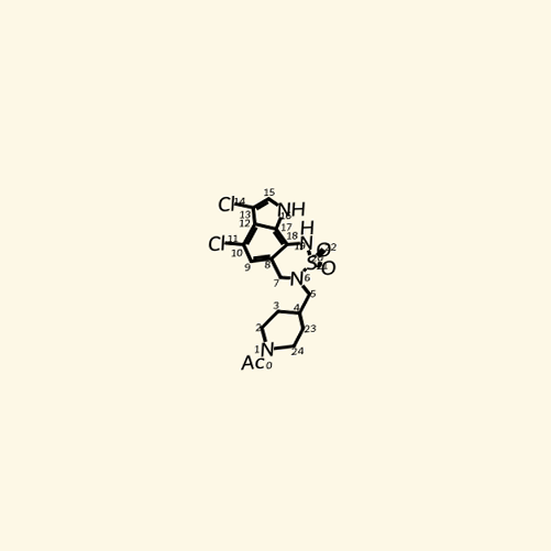 CC(=O)N1CCC(CN2Cc3cc(Cl)c4c(Cl)c[nH]c4c3NS2(=O)=O)CC1